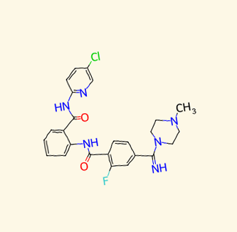 CN1CCN(C(=N)c2ccc(C(=O)Nc3ccccc3C(=O)Nc3ccc(Cl)cn3)c(F)c2)CC1